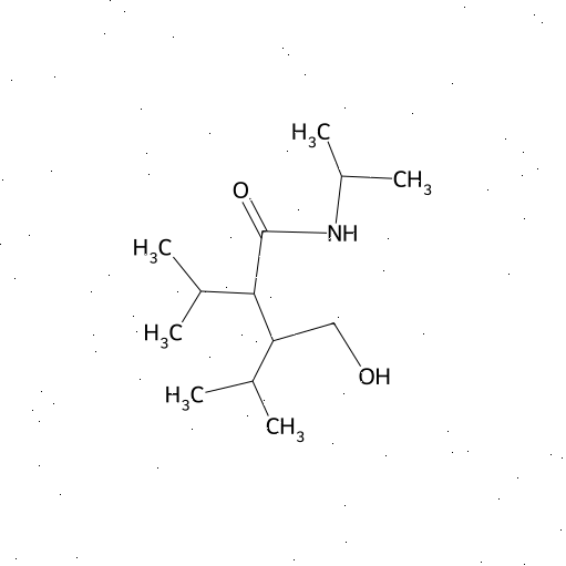 CC(C)NC(=O)C(C(C)C)C(CO)C(C)C